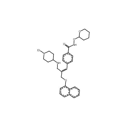 CCN1CCC(NCC(=Cc2ccc(C(=O)NOC3CCCCO3)cc2)COc2cccc3ccccc23)CC1